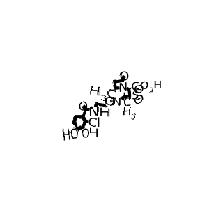 C[C@@H]1CC(=O)N1[C@@H](C(=O)O)[C@](C)(/C=N/OCCNC(=O)c1ccc(O)c(O)c1Cl)[SH](=O)=O